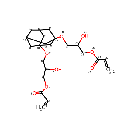 C=CC(=O)OCC(O)COC12CC3CC(C1)CC(OCC(O)COC(=O)C=C)(C3)C2